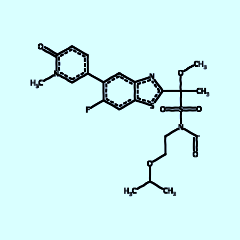 COC(C)(c1nc2cc(-c3ccc(=O)n(C)c3)c(F)cc2s1)S(=O)(=O)N([C]=O)CCOC(C)C